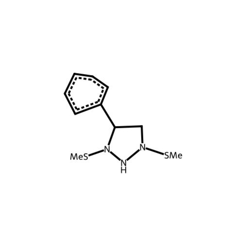 CSN1CC(c2ccccc2)N(SC)N1